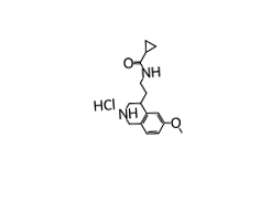 COc1ccc2c(c1)C(CCNC(=O)C1CC1)CNC2.Cl